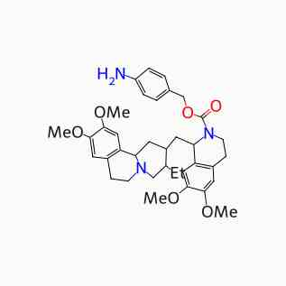 CCC1CN2CCc3cc(OC)c(OC)cc3C2CC1CC1c2cc(OC)c(OC)cc2CCN1C(=O)OCc1ccc(N)cc1